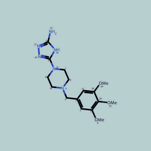 COc1cc(CN2CCN(c3nnc(N)[nH]3)CC2)cc(OC)c1OC